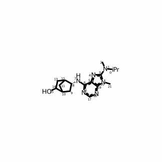 CC(C)N(C)c1nc2c(N[C@@H]3CC4CC3CC4O)ncnc2n1C